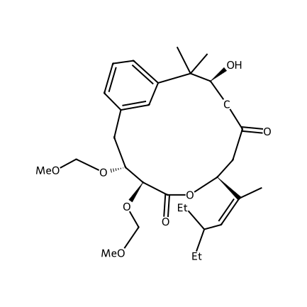 CCC(/C=C(/C)[C@@H]1CC(=O)C[C@H](O)C(C)(C)c2cccc(c2)C[C@@H](OCOC)[C@H](OCOC)C(=O)O1)CC